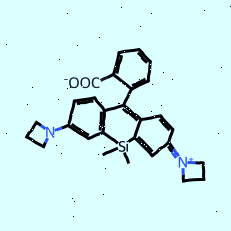 C[Si]1(C)C2=CC(=[N+]3CCC3)C=CC2=C(c2ccccc2C(=O)[O-])c2ccc(N3CCC3)cc21